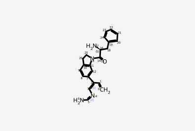 C=C/C(=C\N=C/N)c1ccc2c(c1)N(C(=O)[C@@H](N)Cc1ccccc1)CC2